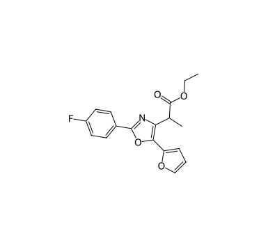 CCOC(=O)C(C)c1nc(-c2ccc(F)cc2)oc1-c1ccco1